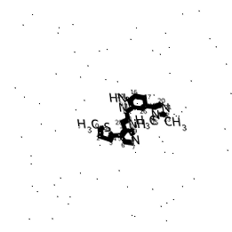 Cc1ccc(-c2ccnc3[nH]c(-c4n[nH]c5ccc(-c6cnc(C)n6C)cc45)cc23)s1